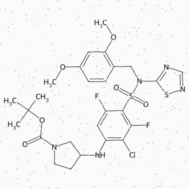 COc1ccc(CN(c2ncns2)S(=O)(=O)c2c(F)cc(NC3CCN(C(=O)OC(C)(C)C)C3)c(Cl)c2F)c(OC)c1